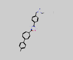 Cc1ccc(C2=CC=CC(c3nc(-c4ccc(CN(C)CC(=O)O)cc4)no3)C=C2)cc1